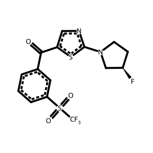 O=C(c1cccc(S(=O)(=O)C(F)(F)F)c1)c1cnc(N2CC[C@@H](F)C2)s1